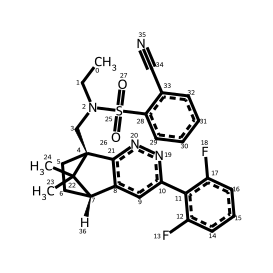 CCN(C[C@@]12CC[C@@H](c3cc(-c4c(F)cccc4F)nnc31)C2(C)C)S(=O)(=O)c1ccccc1C#N